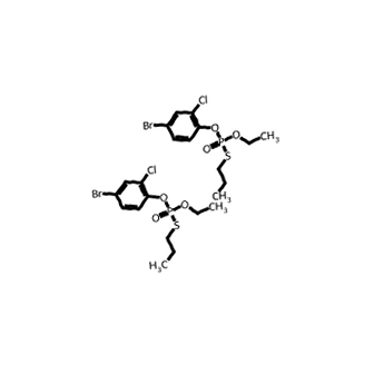 CCCSP(=O)(OCC)Oc1ccc(Br)cc1Cl.CCCSP(=O)(OCC)Oc1ccc(Br)cc1Cl